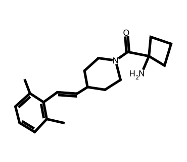 Cc1cccc(C)c1C=CC1CCN(C(=O)C2(N)CCC2)CC1